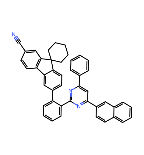 N#Cc1ccc2c(c1)C1(CCCCC1)c1ccc(-c3ccccc3-c3nc(-c4ccccc4)cc(-c4ccc5ccccc5c4)n3)cc1-2